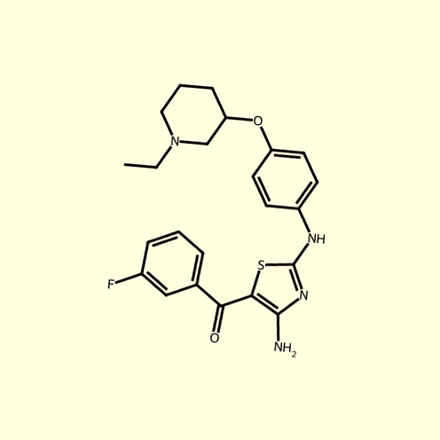 CCN1CCCC(Oc2ccc(Nc3nc(N)c(C(=O)c4cccc(F)c4)s3)cc2)C1